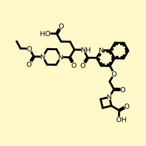 CCOC(=O)N1CCN(C(=O)C(CCC(=O)O)NC(=O)c2cc(OCC(=O)N3CCC3C(=O)O)c3ccccc3n2)CC1